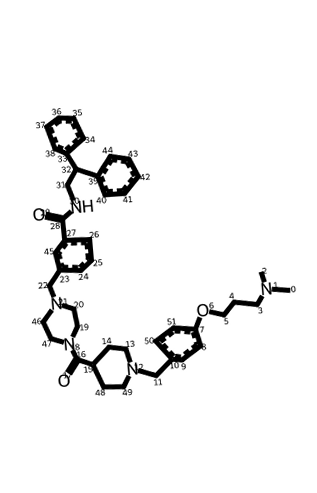 CN(C)CCCOc1ccc(CN2CCC(C(=O)N3CCN(Cc4cccc(C(=O)NCC(c5ccccc5)c5ccccc5)c4)CC3)CC2)cc1